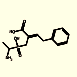 CC(N)P(=O)(O)C/C(=C\Cc1ccccc1)C(=O)O